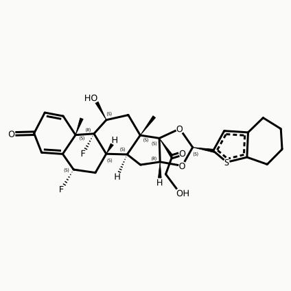 C[C@]12C=CC(=O)C=C1[C@@H](F)C[C@H]1[C@@H]3C[C@H]4O[C@H](c5cc6c(s5)CCCC6)O[C@@]4(C(=O)CO)[C@@]3(C)C[C@H](O)[C@@]12F